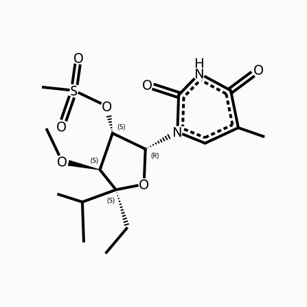 CC[C@@]1(C(C)C)O[C@@H](n2cc(C)c(=O)[nH]c2=O)[C@@H](OS(C)(=O)=O)[C@@H]1OC